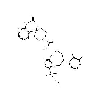 CC(C)(OCC(F)(F)F)c1cnc2n1C[C@H](c1cccc(F)c1F)CC[C@H]2NC(=O)N1CCC2(CC1)OC(=O)Nc1ncccc12